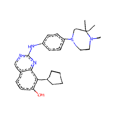 CN1CCN(c2ccc(Nc3ncc4ccc(O)c(C5CCCC5)c4n3)cc2)CC1(C)C